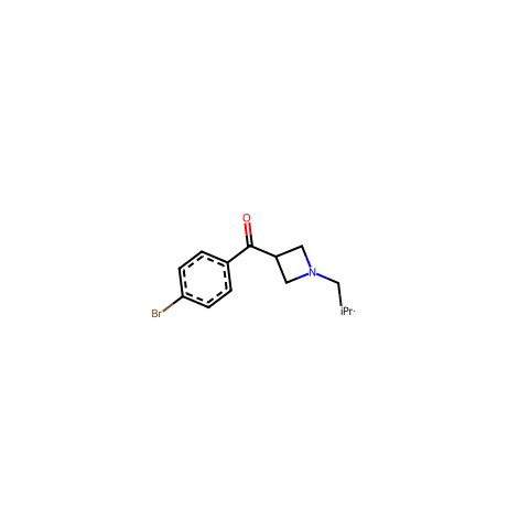 C[C](C)CN1CC(C(=O)c2ccc(Br)cc2)C1